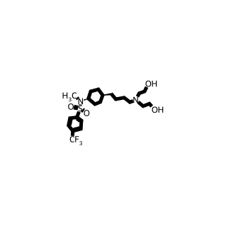 CN([C@H]1CC[C@H](CCCCN(CCO)CCO)CC1)S(=O)(=O)c1ccc(C(F)(F)F)cc1